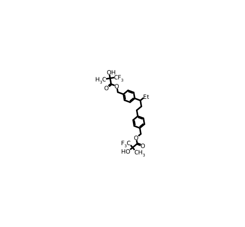 CCC(CCc1ccc(COC(=O)C(C)(O)C(F)(F)F)cc1)c1ccc(COC(=O)C(C)(O)C(F)(F)F)cc1